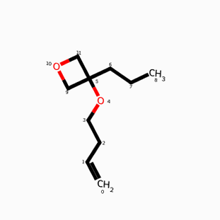 C=CCCOC1(CCC)COC1